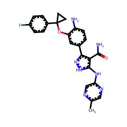 Cc1cnc(Nc2[nH]nc(-c3ccc(N)c(OC4(c5ccc(F)cc5)CC4)c3)c2C(N)=O)cn1